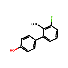 O=Cc1c(F)cccc1-c1ccc(O)cc1